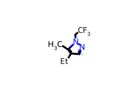 CCc1[c]nn(CC(F)(F)F)c1C